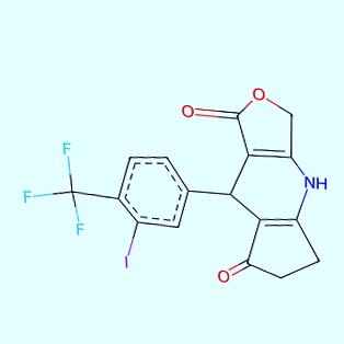 O=C1CCC2=C1C(c1ccc(C(F)(F)F)c(I)c1)C1=C(COC1=O)N2